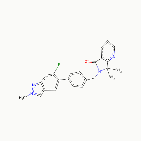 BC1(B)c2ncccc2C(=O)N1Cc1ccc(-c2cc3cn(C)nc3cc2F)cc1